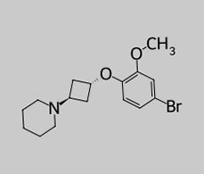 COc1cc(Br)ccc1O[C@H]1C[C@H](N2CCCCC2)C1